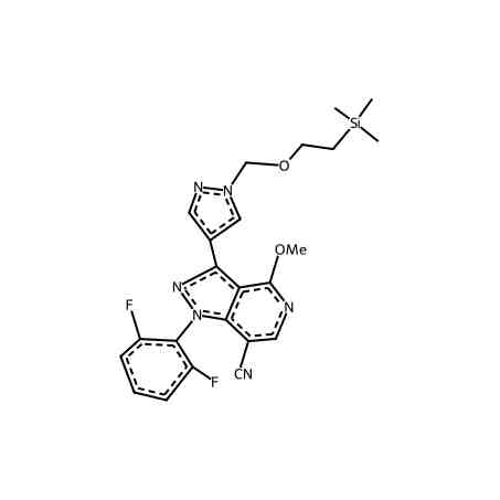 COc1ncc(C#N)c2c1c(-c1cnn(COCC[Si](C)(C)C)c1)nn2-c1c(F)cccc1F